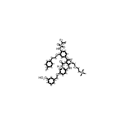 C[Si](C)(C)CCOCn1nc(-c2ccc(NS(=O)(=O)C(F)F)c(OCCc3ccc(F)cc3)c2)c(C(N)=O)c1Nc1ccc(OCc2cccc(C(=O)O)c2)cn1